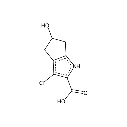 O=C(O)c1[nH]c2c(c1Cl)CC(O)C2